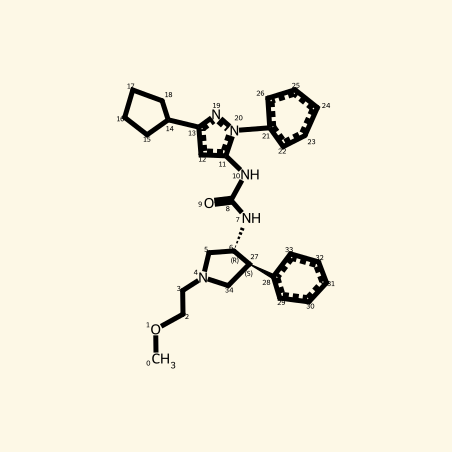 COCCN1C[C@H](NC(=O)Nc2cc(C3CCCC3)nn2-c2ccccc2)[C@@H](c2ccccc2)C1